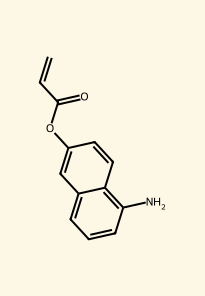 C=CC(=O)Oc1ccc2c(N)cccc2c1